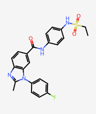 CCS(=O)(=O)Nc1ccc(NC(=O)c2ccc3nc(C)n(-c4ccc(F)cc4)c3c2)cc1